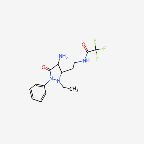 CCN1C(CCNC(=O)C(F)(F)F)C(N)C(=O)N1c1ccccc1